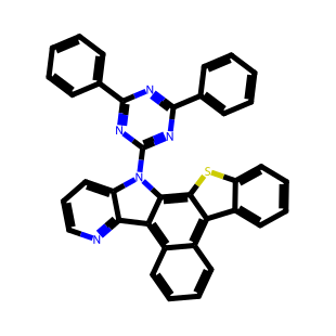 c1ccc(-c2nc(-c3ccccc3)nc(-n3c4cccnc4c4c5ccccc5c5c6ccccc6sc5c43)n2)cc1